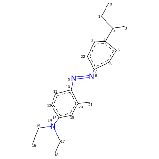 CCC(C)c1ccc(N=Nc2ccc(N(CC)CC)cc2C)cc1